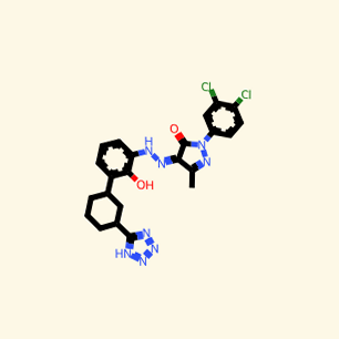 CC1=NN(c2ccc(Cl)c(Cl)c2)C(=O)C1=NNc1cccc(C2CCCC(c3nnn[nH]3)C2)c1O